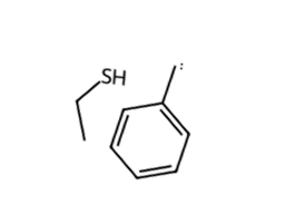 CCS.[CH]c1ccccc1